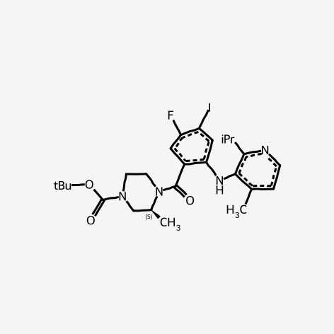 Cc1ccnc(C(C)C)c1Nc1cc(I)c(F)cc1C(=O)N1CCN(C(=O)OC(C)(C)C)C[C@@H]1C